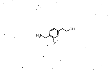 NCc1ccc(CCO)cc1Br